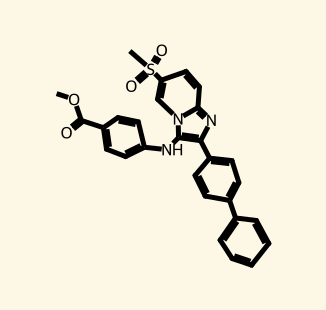 COC(=O)c1ccc(Nc2c(-c3ccc(-c4ccccc4)cc3)nc3ccc(S(C)(=O)=O)cn23)cc1